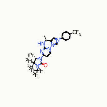 [2H]C([2H])([2H])N1C(=O)N(c2ccnc(N[C@@H](C)c3cn(-c4ccc(C(F)(F)F)cc4)cn3)n2)[C@@H](C(C)C)C1([2H])[2H]